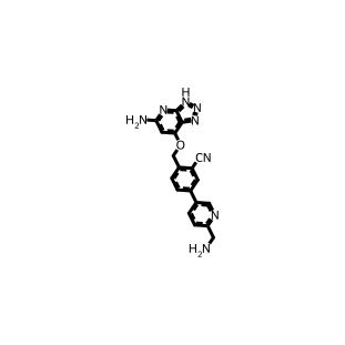 N#Cc1cc(-c2ccc(CN)nc2)ccc1COc1cc(N)nc2[nH]nnc12